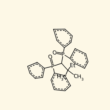 CCC(C)(C)C(P(=O)(c1ccccc1)c1ccccc1)P(=O)(c1ccccc1)c1ccccc1